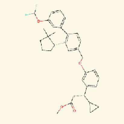 COC(=O)C[C@H](c1cccc(OCc2ccc(-c3cccc(OC(F)F)c3)c([C@@H]3CCCC3(C)C)c2)c1)C1CC1